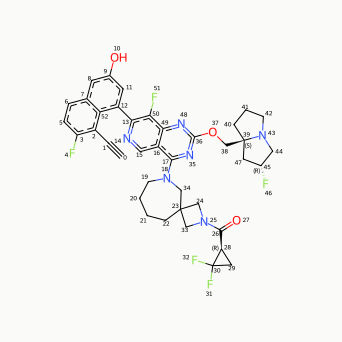 C#Cc1c(F)ccc2cc(O)cc(-c3ncc4c(N5CCCCC6(CN(C(=O)[C@H]7CC7(F)F)C6)C5)nc(OC[C@@]56CCCN5C[C@H](F)C6)nc4c3F)c12